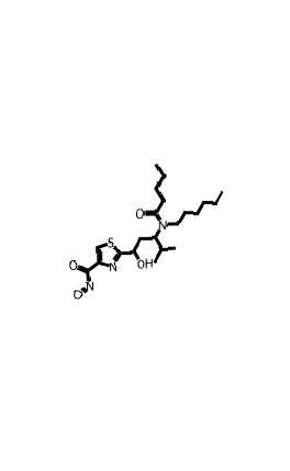 CCCCCCN(C(=O)CCCC)C(CC(O)c1nc(C(=O)N=O)cs1)C(C)C